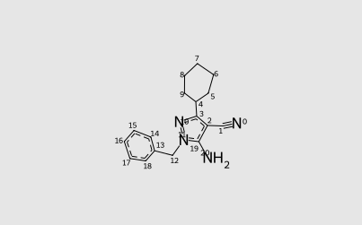 N#Cc1c(C2CCCCC2)nn(Cc2ccccc2)c1N